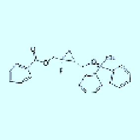 CC(C)(C)[Si](OC[C@H]1C[C@]1(F)COC(=O)c1ccccc1)(c1ccccc1)c1ccccc1